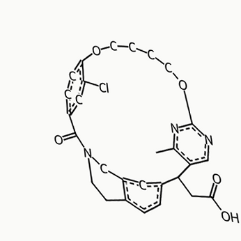 Cc1nc2ncc1C(CC(=O)O)c1ccc3c(c1)CN(CC3)C(=O)c1ccc(c(Cl)c1)OCCCCO2